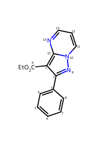 CCOC(=O)c1c(-c2ccccc2)nn2cccnc12